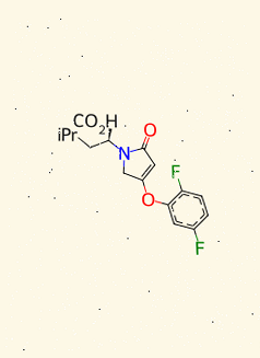 CC(C)C[C@@H](C(=O)O)N1CC(Oc2cc(F)ccc2F)=CC1=O